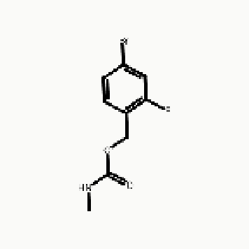 CNC(=O)OCc1ccc(Br)cc1F